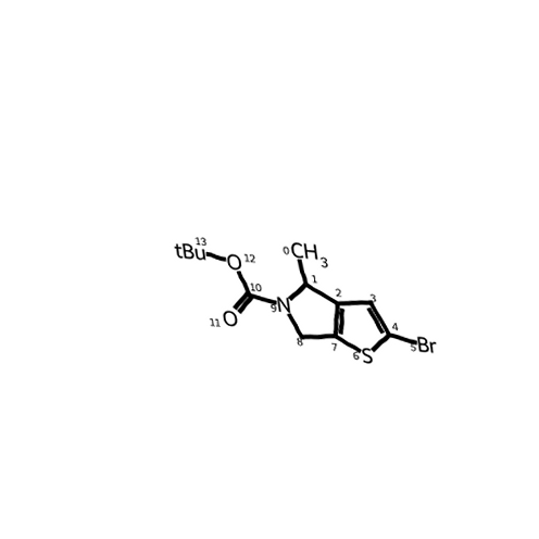 CC1c2cc(Br)sc2CN1C(=O)OC(C)(C)C